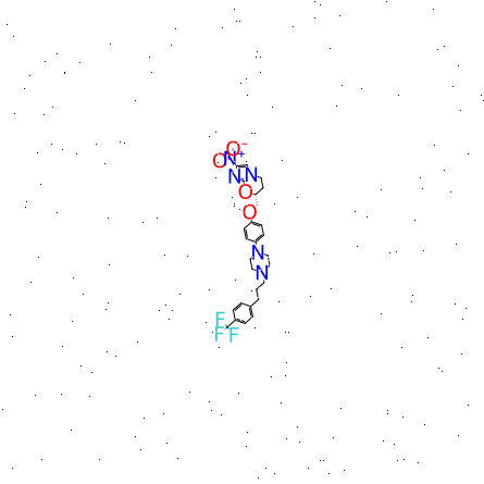 O=[N+]([O-])c1cn2c(n1)O[C@@H](COc1ccc(N3CCN(CCCc4ccc(C(F)(F)F)cc4)CC3)cc1)CC2